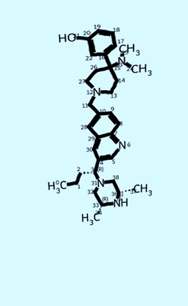 CCC[C@H](c1cnc2ccc(CN3CCC(c4cccc(O)c4)(N(C)C)CC3)cc2c1)N1C[C@@H](C)N[C@@H](C)C1